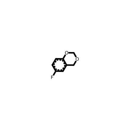 Fc1ccc2c(c1)COCO2